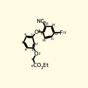 CCOC(=O)COc1cccc(Oc2c[c]c(F)cc2C#N)c1